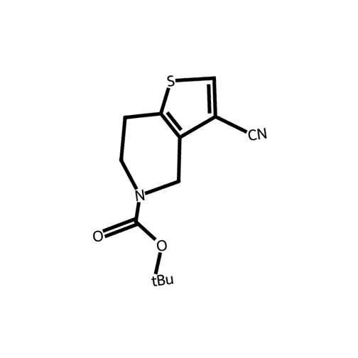 CC(C)(C)OC(=O)N1CCc2scc(C#N)c2C1